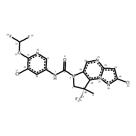 C[C@@]1(C(F)(F)F)CN(C(=O)Nc2cnc(OC(F)F)c(Cl)c2)c2cnc3cc(Cl)nn3c21